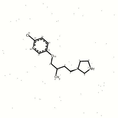 CC(CC[C@H]1CCNC1)COc1ccc(Cl)nc1